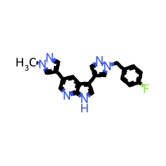 Cn1cc(-c2cnc3[nH]cc(-c4cnn(Cc5ccc(F)cc5)c4)c3c2)cn1